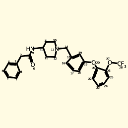 O=C(Cc1ccccc1)NC1CCN(Cc2cccc(Oc3ccccc3OC(F)(F)F)c2)CC1